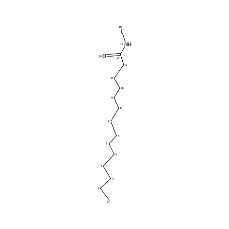 CCCCCCCCCCCCCC(=O)NI